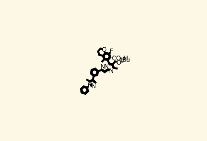 Cc1nc2cc(-c3cccc(-c4cnn(-c5ccccc5)c4C)c3)nn2c(-c2cc(F)c3c(c2C)CCCO3)c1[C@H](OC(C)(C)C)C(=O)O